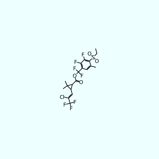 CCS(=O)(=O)c1c(C)cc(C(F)(F)OC(=O)C2C(C=C(Cl)C(F)(F)F)C2(C)C)c(F)c1F